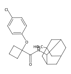 O=C(O)C12CC3CC(C1)C(NC(=O)C1(Oc4ccc(Cl)cc4)CCC1)C(C3)C2